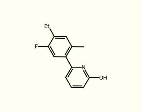 CCc1cc(C)c(-c2cccc(O)n2)cc1F